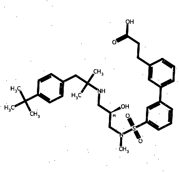 CN(C[C@H](O)CNC(C)(C)Cc1ccc(C(C)(C)C)cc1)S(=O)(=O)c1cccc(-c2cccc(CCC(=O)O)c2)c1